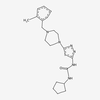 Cc1ccccc1CN1CCN(c2nnc(NC(=O)NC3CCCC3)s2)CC1